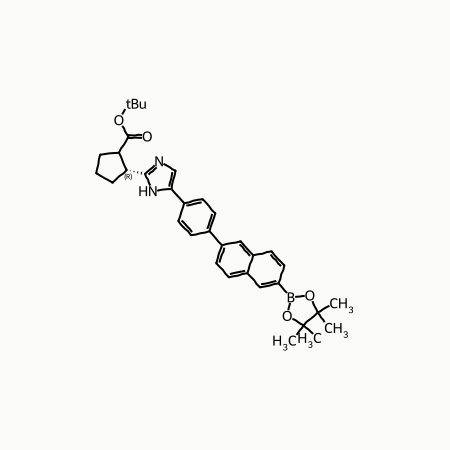 CC(C)(C)OC(=O)C1CCC[C@H]1c1ncc(-c2ccc(-c3ccc4cc(B5OC(C)(C)C(C)(C)O5)ccc4c3)cc2)[nH]1